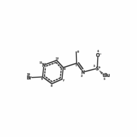 C/C(=N\[S@+]([O-])C(C)(C)C)c1ccc(Br)nc1